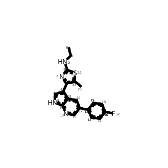 CCNc1nc(-c2c[nH]c3ncc(-c4ccc(F)cc4)cc23)c(C)s1